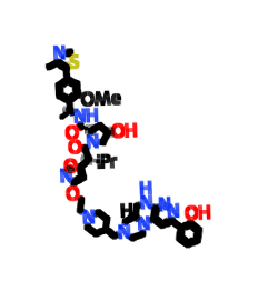 COc1cc(-c2scnc2C)ccc1[C@H](C)NC(=O)[C@@H]1C[C@@H](O)CN1C(=O)[C@@H](c1cc(OCCN2CCC(CN3CCN4c5cc(-c6ccccc6O)nnc5NC[C@H]4C3)CC2)no1)C(C)C